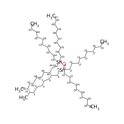 CCCCCCCCC[CH2][Sn]([CH2]CCCCCCCCC)([CH2]CCCCCCCCC)[O][Sn]([CH2]CCCCCCCCC)([CH2]CCCCCCCCC)[CH2]CCCCCCCCC